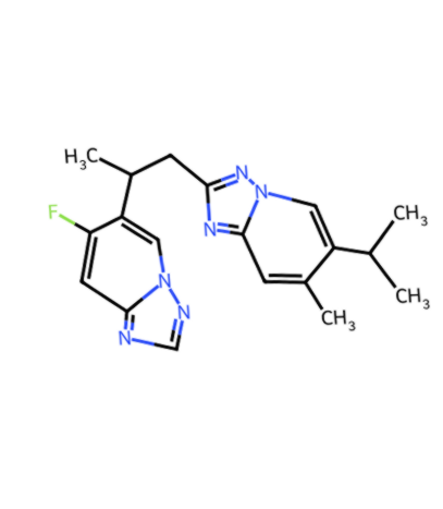 Cc1cc2nc(CC(C)c3cn4ncnc4cc3F)nn2cc1C(C)C